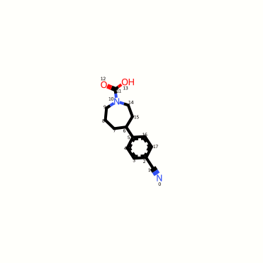 N#Cc1ccc(C2CCCN(C(=O)O)CC2)cc1